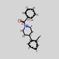 Cc1ccccc1C1CCN(C(=O)c2ccccc2)CC1